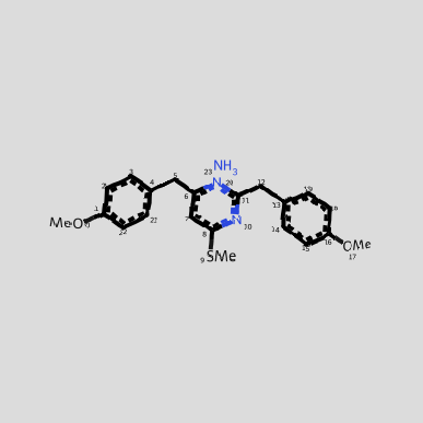 COc1ccc(Cc2cc(SC)nc(Cc3ccc(OC)cc3)n2)cc1.N